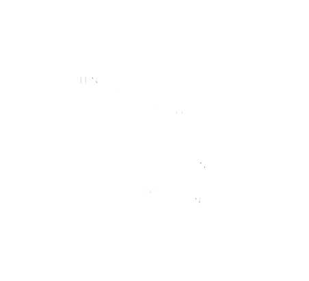 CCc1nccn1CCOc1ccc(N)cc1